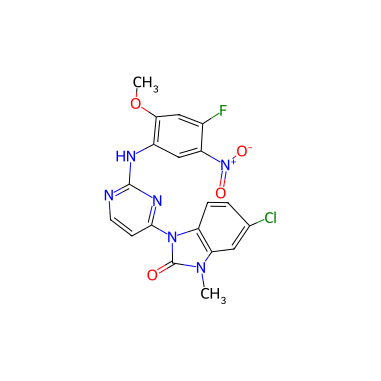 COc1cc(F)c([N+](=O)[O-])cc1Nc1nccc(-n2c(=O)n(C)c3cc(Cl)ccc32)n1